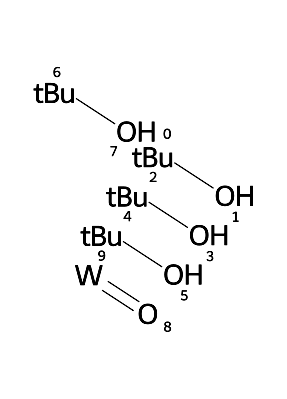 CC(C)(C)O.CC(C)(C)O.CC(C)(C)O.CC(C)(C)O.[O]=[W]